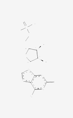 CCc1nc(N)c2ncn([C@@H]3O[C@H](COP(O)(O)=S)[C@@H](O)[C@H]3O)c2n1